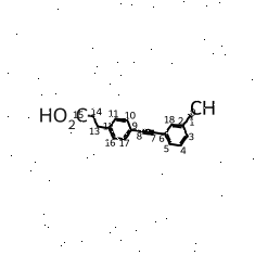 C#Cc1cccc(C#Cc2ccc(CCC(=O)O)cc2)c1